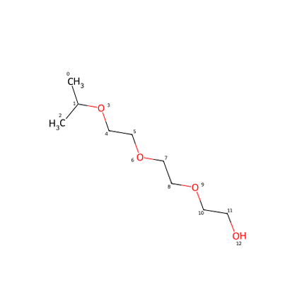 CC(C)OCCOCCOCCO